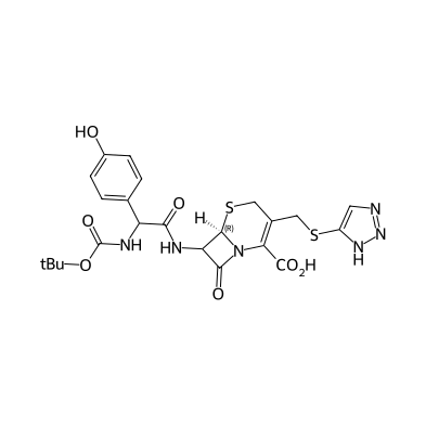 CC(C)(C)OC(=O)NC(C(=O)NC1C(=O)N2C(C(=O)O)=C(CSc3cnn[nH]3)CS[C@H]12)c1ccc(O)cc1